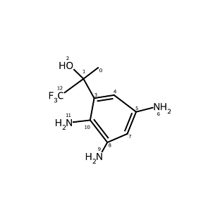 CC(O)(c1cc(N)cc(N)c1N)C(F)(F)F